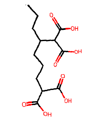 [CH2]CCC(CCCC(C(=O)O)C(=O)O)C(C(=O)O)C(=O)O